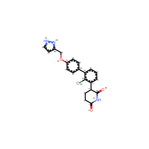 O=C1CCC(c2cccc(-c3ccc(OCc4cc[nH]n4)cc3)c2Cl)C(=O)N1